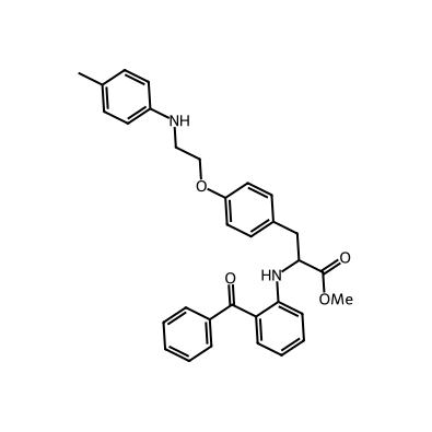 COC(=O)C(Cc1ccc(OCCNc2ccc(C)cc2)cc1)Nc1ccccc1C(=O)c1ccccc1